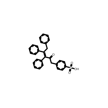 O=C(Cc1ccc(S(=O)(=O)O)cc1)/C(=C(\Cc1ccccc1)c1ccccc1)c1ccccc1